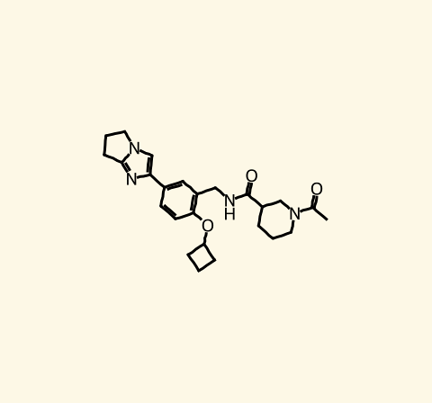 CC(=O)N1CCCC(C(=O)NCc2cc(-c3cn4c(n3)CCC4)ccc2OC2CCC2)C1